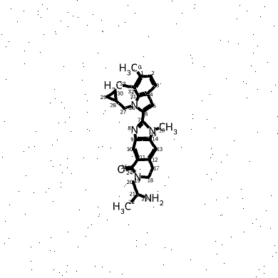 Cc1ccc2cc(-c3nc4cc5c(cc4n3C)CCN(CC(C)N)C5=O)n(CC3CC3)c2c1C